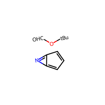 CC(C)(C)OC=O.c1cc2nc-2c1